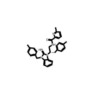 Cc1ccc(C[C@@H](CNC(=O)c2cccc(C)n2)n2c(=N)n(Cc3ccc(C)cc3)c3ccccc32)cc1